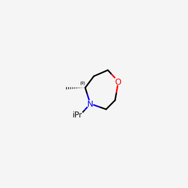 CC(C)N1CCOCC[C@H]1C